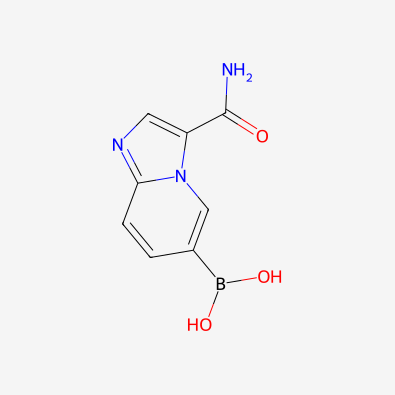 NC(=O)c1cnc2ccc(B(O)O)cn12